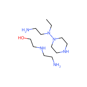 CCN(CCN)N1CCNCC1.NCCNCCO